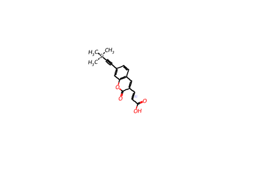 C[Si](C)(C)C#Cc1ccc2cc(/C=C/C(=O)O)c(=O)oc2c1